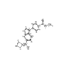 COC(=O)c1ccc(-n2ccc3cc([S@+]([O-])C4CCC4)cnc32)cc1